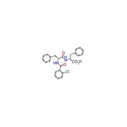 O=C(N[C@@H](Cc1ccccc1)C(=O)N[C@@H](Cc1ccccc1)C(=O)O)c1ccccc1Cl